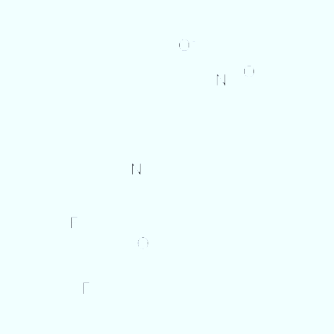 Cc1cc(OC(F)F)nc(C)c1[N+](=O)[O-]